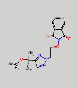 CC(C)(C)[SiH2]OC(C)(C)c1cnn(CCON2C(=O)c3ccccc3C2=O)n1